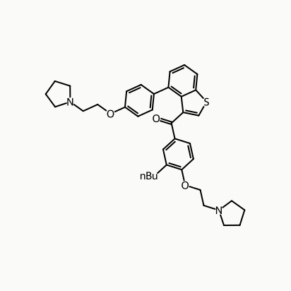 CCCCc1cc(C(=O)c2csc3cccc(-c4ccc(OCCN5CCCC5)cc4)c23)ccc1OCCN1CCCC1